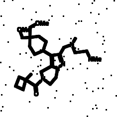 CNCCN(C)Cc1nn2c(c1C1CCC(COC)(COC)CC1)CN(C(=O)C1(C)CCC1)CC2